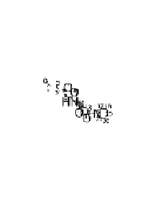 CCCCC(=O)CC(=O)NCC(=O)CC(=O)N1CCCCC1